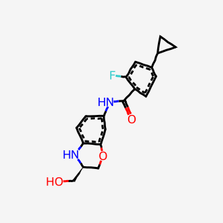 O=C(Nc1ccc2c(c1)OC[C@@H](CO)N2)c1ccc(C2CC2)cc1F